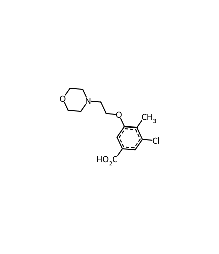 Cc1c(Cl)cc(C(=O)O)cc1OCCN1CCOCC1